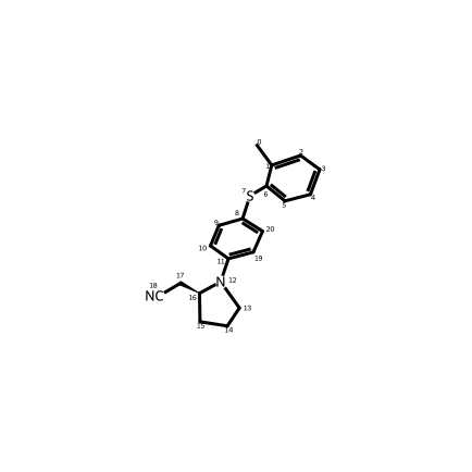 Cc1ccccc1Sc1ccc(N2CCC[C@H]2CC#N)cc1